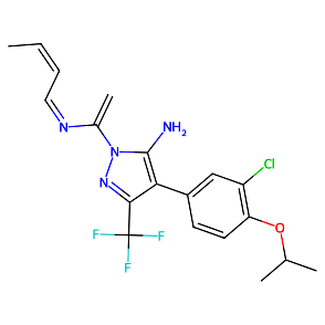 C=C(/N=C\C=C/C)n1nc(C(F)(F)F)c(-c2ccc(OC(C)C)c(Cl)c2)c1N